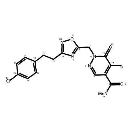 CNC(=O)c1cnn(Cc2nc(CCc3ccc(Cl)cc3)no2)c(=O)c1C